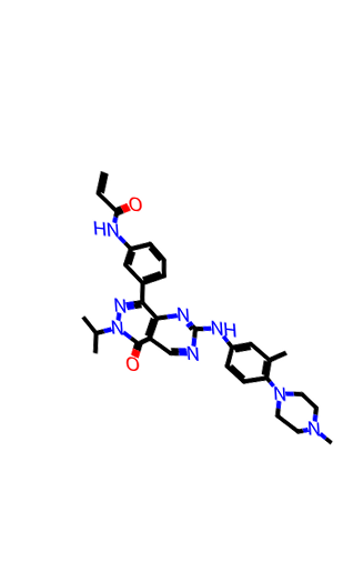 C=CC(=O)Nc1cccc(-c2nn(C(C)C)c(=O)c3cnc(Nc4ccc(N5CCN(C)CC5)c(C)c4)nc23)c1